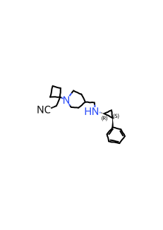 N#CCC1(N2CCC(CN[C@@H]3C[C@H]3c3ccccc3)CC2)CCC1